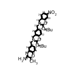 CC1Oc2ccc(CN(Cc3cccc(CN(Cc4ccc([N+](=O)[O-])cc4)C(=O)OC(C)(C)C)c3)C(=O)OC(C)(C)C)cc2N=C1N